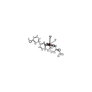 COc1cccc(-c2ccc3c(c2)C2(NC(=S)N(C)C2=O)[C@]2(CC[C@H](OC(C)C)CC2)C3)c1